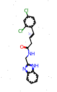 O=C(C/C=C/c1ccc(Cl)cc1Cl)NCc1nc2ccccc2[nH]1